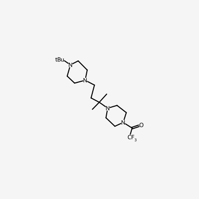 CC(C)(C)N1CCN(CCC(C)(C)N2CCN(C(=O)C(F)(F)F)CC2)CC1